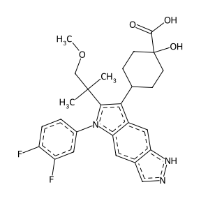 COCC(C)(C)c1c(C2CCC(O)(C(=O)O)CC2)c2cc3[nH]ncc3cc2n1-c1ccc(F)c(F)c1